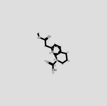 COC(=O)Cc1ccc2c(n1)N(C(=O)O)CCC2